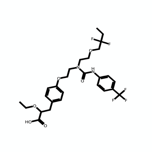 CCOC(Cc1ccc(OCCN(CCOCC(F)(F)CC)C(=O)Nc2ccc(C(F)(F)F)cc2)cc1)C(=O)O